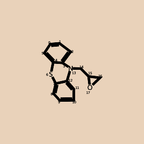 c1ccc2c(c1)Sc1ccccc1N2CC1CO1